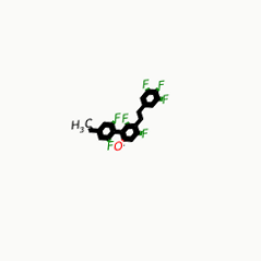 CCc1cc(F)c(-c2c([O])cc(F)c(CCc3cc(F)c(F)c(F)c3)c2F)c(F)c1